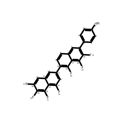 CCCc1ccc(-c2cc3ccc(-c4cc(F)c5c(F)c(F)c(F)cc5c4)c(F)c3c(F)c2F)cc1